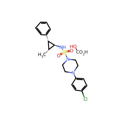 C[C@H]1[C@H](NS(=O)(=O)N2CCN(c3ccc(Cl)cc3)CC2)[C@H]1c1ccccc1.O=C(O)O